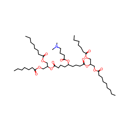 CCCCCCCCC(=O)OCC(COC(=O)CCCCCC)OC(=O)CCCC(CCCC(=O)OC(COC(=O)CCCCCC)COC(=O)CCCCCCC)OC(=O)CCCN(C)C